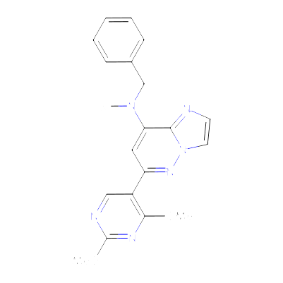 COc1ncc(-c2cc(N(C)Cc3ccccc3)c3nccn3n2)c(OC)n1